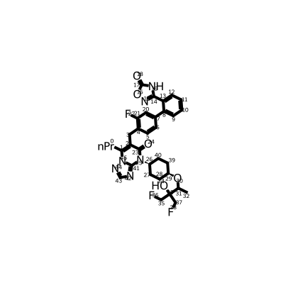 CCCc1c(Cc2ccc(-c3ccccc3-c3noc(=O)[nH]3)cc2F)c(=O)n([C@H]2CC[C@H](OC(C)C(O)(CF)CF)CC2)c2ncnn12